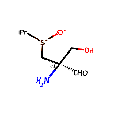 CC(C)[S+]([O-])C[C@@](N)(C=O)CO